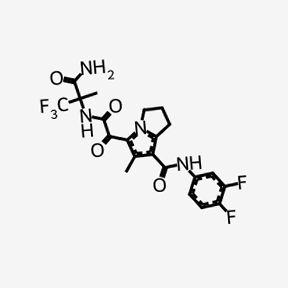 Cc1c(C(=O)Nc2ccc(F)c(F)c2)c2n(c1C(=O)C(=O)NC(C)(C(N)=O)C(F)(F)F)CCC2